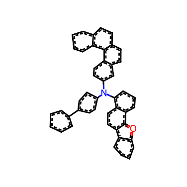 c1ccc(-c2ccc(N(c3ccc4c(ccc5ccc6ccccc6c54)c3)c3cccc4c3ccc3c5ccccc5oc43)cc2)cc1